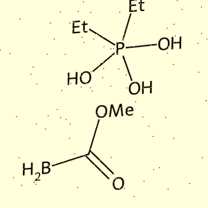 BC(=O)OC.CCP(O)(O)(O)CC